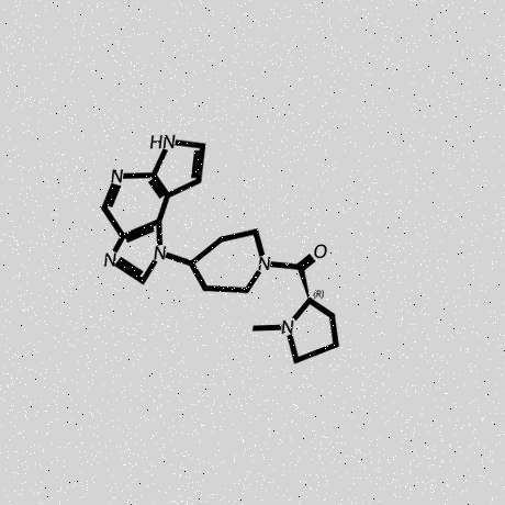 CN1CCC[C@@H]1C(=O)N1CCC(n2cnc3cnc4[nH]ccc4c32)CC1